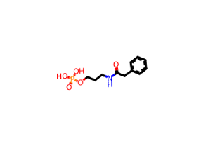 O=C(Cc1ccccc1)NCCCOP(=O)(O)O